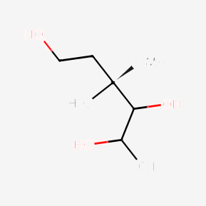 CO[C@@](C)(CCO)C(O)C(C)O